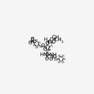 CC(C)(C)OC(=O)CC(SC[C@H]1NC(=O)[C@H]1NC(=O)OCc1ccccc1)C(=O)C(=O)OCc1ccc([N+](=O)[O-])cc1